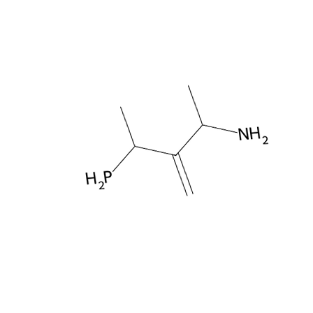 C=C(C(C)N)C(C)P